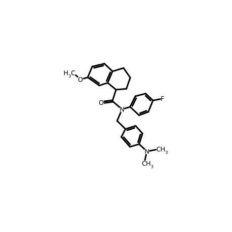 COc1ccc2c(c1)C(C(=O)N(Cc1ccc(N(C)C)cc1)c1ccc(F)cc1)CCC2